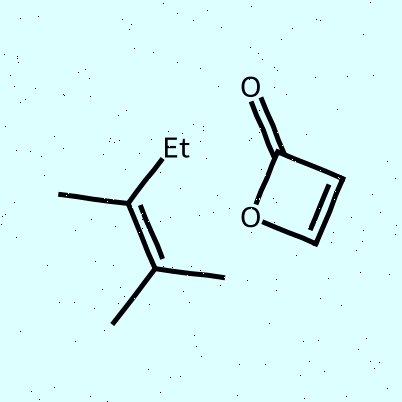 CCC(C)=C(C)C.O=C1C=CO1